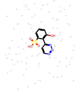 O=S(=O)(O)c1cccc(O)c1-c1ccnnn1